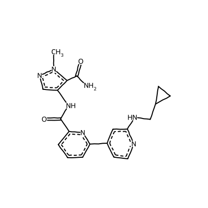 Cn1ncc(NC(=O)c2cccc(-c3ccnc(NCC4CC4)c3)n2)c1C(N)=O